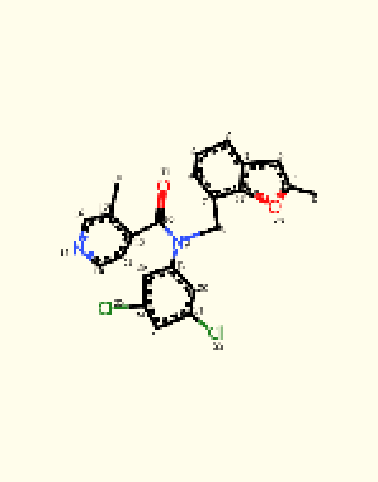 Cc1cc2cccc(CN(C(=O)c3ccncc3C)c3cc(Cl)cc(Cl)c3)c2o1